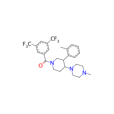 Cc1ccccc1C1CN(C(=O)c2cc(C(F)(F)F)cc(C(F)(F)F)c2)CCC1N1CCN(C)CC1